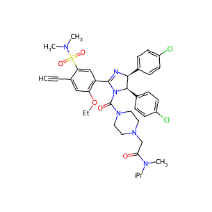 C#Cc1cc(OCC)c(C2=N[C@@H](c3ccc(Cl)cc3)[C@@H](c3ccc(Cl)cc3)N2C(=O)N2CCN(CC(=O)N(C)C(C)C)CC2)cc1S(=O)(=O)N(C)C